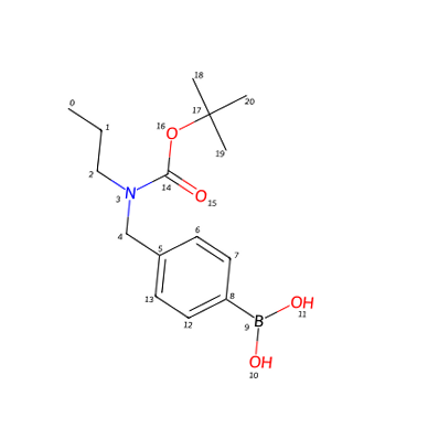 CCCN(Cc1ccc(B(O)O)cc1)C(=O)OC(C)(C)C